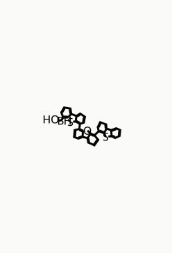 OBc1cccc2c1sc1c(-c3cccc4c3oc3c(-c5cccc6c5sc5ccccc56)cccc34)cccc12